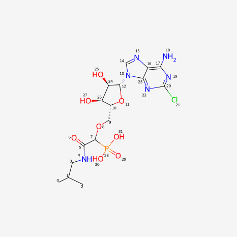 CC(C)CNC(=O)C(OC[C@H]1O[C@@H](n2cnc3c(N)nc(Cl)nc32)[C@H](O)[C@@H]1O)P(=O)(O)O